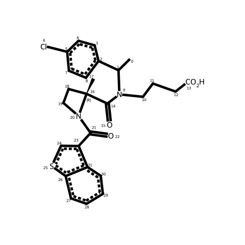 CC(c1ccc(Cl)cc1)N(CCCC(=O)O)C(=O)[C@@]1(C)CCN1C(=O)c1csc2ccccc12